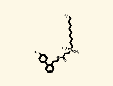 CCCCCCCCCC[Si](C)(C)CCC(=O)NCCc1ccccc1-c1ccc(C)cc1